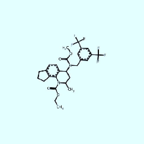 CCOC(=O)N1c2c(ccc3c2CCC3)C(N(Cc2cc(C(F)(F)F)cc(C(F)(F)F)c2)C(=O)OC)CC1C